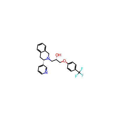 O[C@H](COc1ccc(C(F)(F)F)cc1)CN1Cc2ccccc2C[C@H]1c1cccnc1